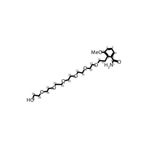 COc1cccc(C(N)=O)c1CCOCCOCCOCCOCCOCCOCCO